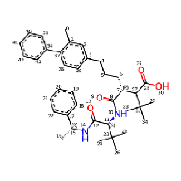 Cc1cc(CCC[C@@H](C(=O)N[C@H](C(=O)N[C@H](C)c2ccccc2)C(C)(C)C)C(C(=O)O)C(C)(C)C)ccc1-c1ccccc1